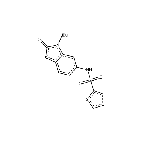 CCC(C)n1c(=O)sc2ccc(NS(=O)(=O)c3cccs3)cc21